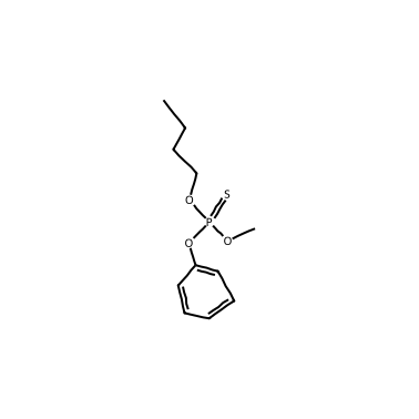 CCCCOP(=S)(OC)Oc1ccccc1